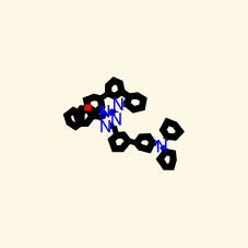 c1ccc(-c2ccc(-c3cccc4c5ccccc5n(-c5nc(-c6ccccc6)nc(-c6cccc(-c7ccc(N(c8ccccc8)c8ccccc8)cc7)c6)n5)c34)cc2)cc1